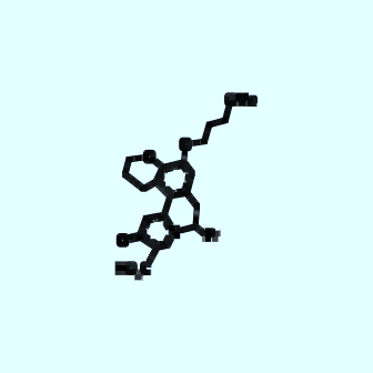 COCCCOc1cc2c(c3c1OCCC3)-c1cc(=O)c(C(=O)O)cn1C(C(C)C)C2